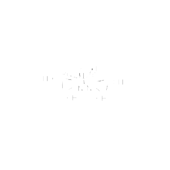 Cc1cc(C)c(N2CCN(c3c(C)cc(C)cc3C)C2=C2C=CC=CC2[CH]=[Ru])c(C)c1